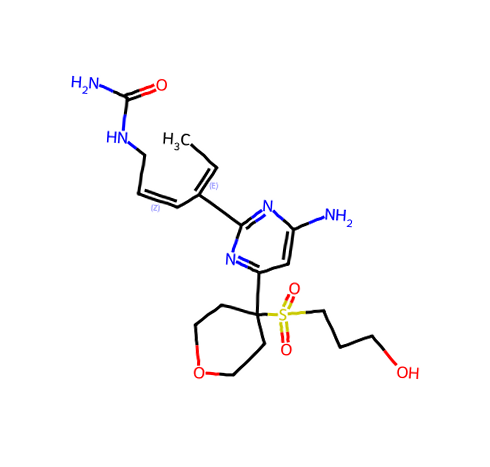 C/C=C(\C=C/CNC(N)=O)c1nc(N)cc(C2(S(=O)(=O)CCCO)CCOCC2)n1